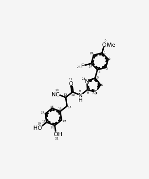 COc1ccc(-c2csc(NC(=O)C(C#N)Cc3ccc(O)c(O)c3)n2)c(F)c1